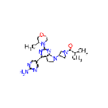 CC(C)C(=O)N1CC(N2CCc3c(-c4cnc(N)nc4)nc(N4CCOC[C@@H]4C)nc32)C1